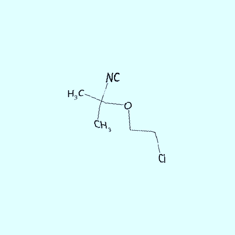 [C-]#[N+]C(C)(C)OCCCl